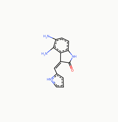 Nc1ccc2c(c1N)/C(=C/c1ccc[nH]1)C(=O)N2